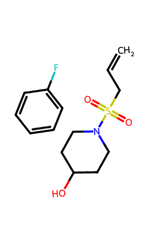 C=CCS(=O)(=O)N1CCC(O)CC1.Fc1ccccc1